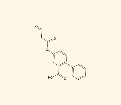 C=CCC(=O)Oc1ccc(-c2ccccc2)c(C(=O)O)c1